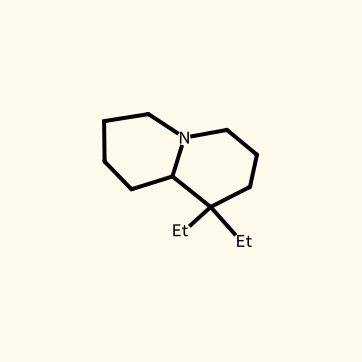 CCC1(CC)CCCN2CCCCC21